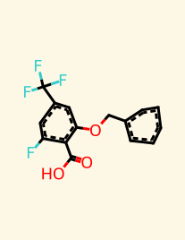 O=C(O)c1c(F)cc(C(F)(F)F)cc1OCc1ccccc1